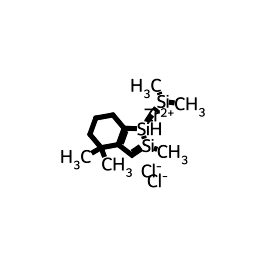 C[Si]1=CC2=C(CCCC2(C)C)[SiH]1[Zr+2]=[Si](C)C.[Cl-].[Cl-]